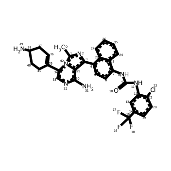 Cc1nc(-c2ccc(NC(=O)Nc3cc(C(F)(F)F)ccc3Cl)c3ccccc23)c2c(N)ncc(C3=CCC(N)CC3)n12